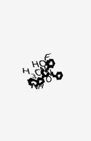 Cc1nc(-c2cccc(F)c2O)n(CCc2ccccc2)c(=O)c1-c1ccc2c(c1)CCCN2